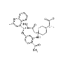 Cc1cc(COc2ccc(C(N)=O)c(NC3(CC(=O)NO)CCN([C@@H](C)C(=O)O)CC3)c2)c2ccccc2n1